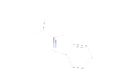 [CH2]C(S)c1nc2ccccc2o1